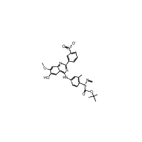 C=NN(C(=O)OC(C)(C)C)c1ccc(Nc2nc(-c3cccc([N+](=O)[O-])c3)nc3cc(OC)c(O)cc23)cc1C